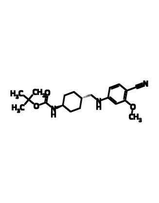 COc1cc(NC[C@H]2CC[C@H](NC(=O)OC(C)(C)C)CC2)ccc1C#N